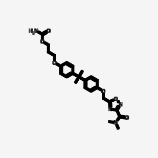 CN(C)C(=O)c1noc(COc2ccc(C(C)(C)c3ccc(OCCCOC(N)=O)cc3)cc2)n1